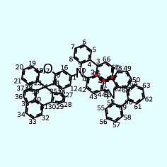 c1ccc(-c2ccccc2N(c2ccc3c(c2)Oc2ccccc2C32c3ccccc3-c3cccc4cccc2c34)c2ccc3c(c2)c2ccccc2n3-c2ccccc2-c2ccccc2)cc1